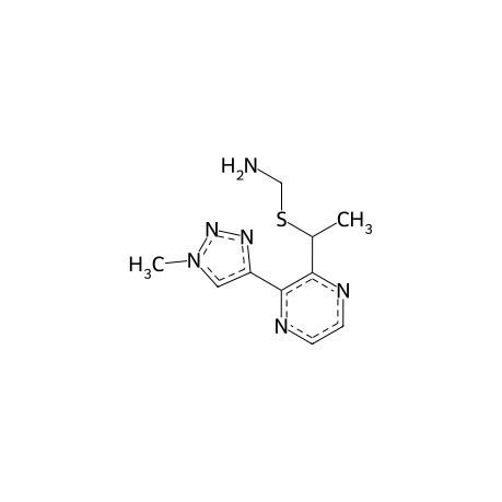 CC(SCN)c1nccnc1-c1cn(C)nn1